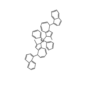 CC1=CC2=C(C=CC=CC2c2cccc3ccccc23)C1[Si](c1ccccc1)(c1ccccc1)C1C(C)=CC2=C1C=CC=CC2c1cccc2ccccc12